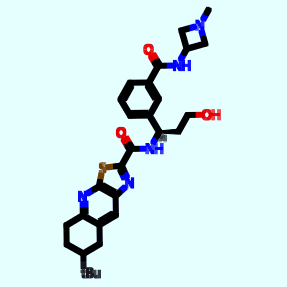 CN1CC(NC(=O)c2cccc([C@@H](CCO)NC(=O)c3nc4cc5c(nc4s3)CCC(C(C)(C)C)C5)c2)C1